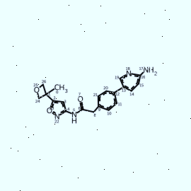 CC1(c2cc(NC(=O)Cc3ccc(-c4ccc(N)nc4)cc3)no2)COC1